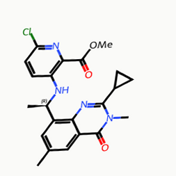 COC(=O)c1nc(Cl)ccc1N[C@H](C)c1cc(C)cc2c(=O)n(C)c(C3CC3)nc12